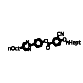 CCCCCCCCc1cnc(-c2ccc(OC(=O)c3ccc(OCCCCCCC)c(C#N)c3)cc2)nc1